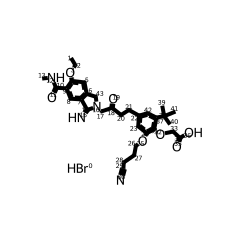 Br.CCOc1cc2c(cc1C(=O)NC)C(=N)N(CC(=O)CCc1cc(OCCCC#N)c(OCC(=O)O)c(C(C)(C)C)c1)C2